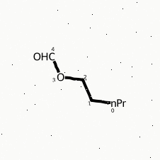 [CH2]CCC[CH]OC=O